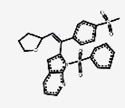 CS(=O)(=O)c1ccc(/C(=C/C2CCCO2)c2cc3cccnc3n2S(=O)(=O)c2ccccc2)cc1